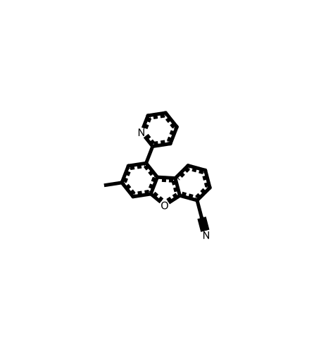 Cc1cc(-c2ccccn2)c2c(c1)oc1c(C#N)cccc12